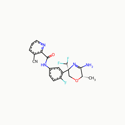 C[C@@H]1OC[C@](c2cc(NC(=O)c3ncccc3C#N)ccc2F)(C(F)F)N=C1N